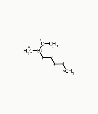 CCCCCB(C)OC